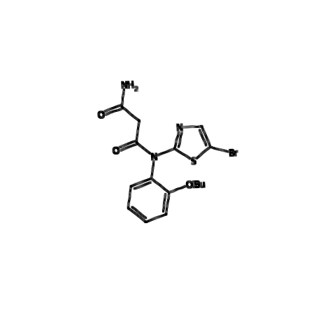 CC(C)COc1ccccc1N(C(=O)CC(N)=O)c1ncc(Br)s1